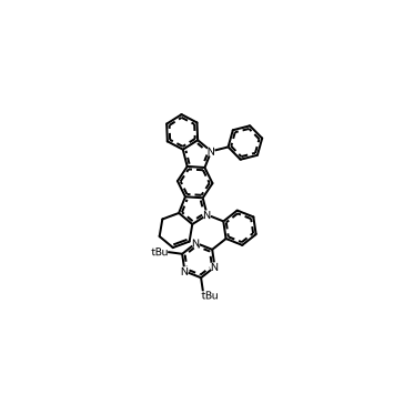 CC(C)(C)c1nc(-c2ccccc2-n2c3c(c4cc5c6ccccc6n(-c6ccccc6)c5cc42)CCC=C3)nc(C(C)(C)C)n1